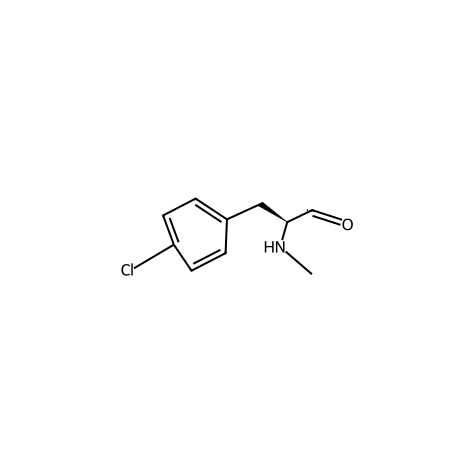 CN[C@H]([C]=O)Cc1ccc(Cl)cc1